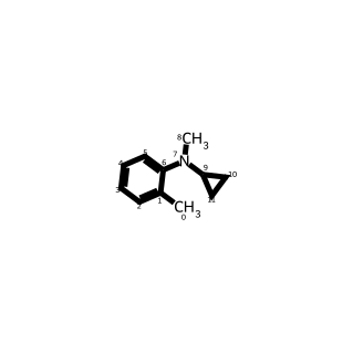 Cc1ccccc1N(C)C1CC1